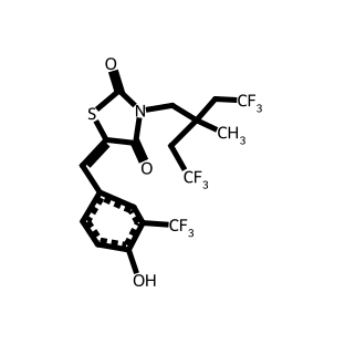 CC(CN1C(=O)SC(=Cc2ccc(O)c(C(F)(F)F)c2)C1=O)(CC(F)(F)F)CC(F)(F)F